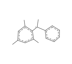 C[C](c1ccccc1)c1c(C)cc(C)cc1C